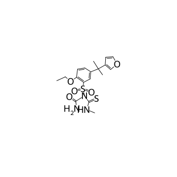 CCOc1ccc(C(C)(C)c2ccoc2)cc1S(=O)(=O)N(C(N)=O)C(=S)NC